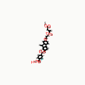 C=C(CC(=O)OC)C(=O)OCCCOc1ccc2c(c1)C(C)c1cc(OC(=O)c3ccc(C(=O)O)c(F)c3)ccc1-2